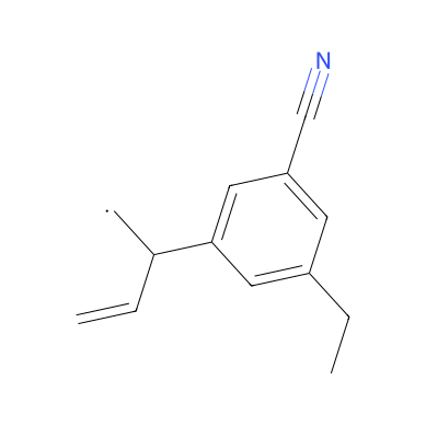 [CH2]C(C=C)c1cc(C#N)cc(CC)c1